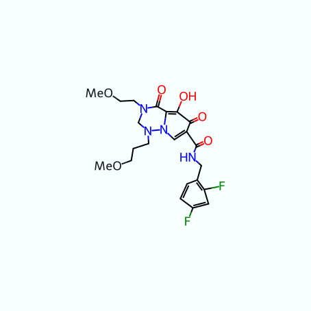 COCCCN1CN(CCOC)C(=O)c2c(O)c(=O)c(C(=O)NCc3ccc(F)cc3F)cn21